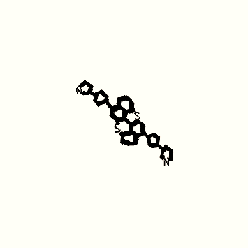 c1cncc(-c2ccc(-c3cc4sc5cccc6c(-c7ccc(-c8cccnc8)cc7)cc7sc8cccc3c8c4-c7c56)cc2)c1